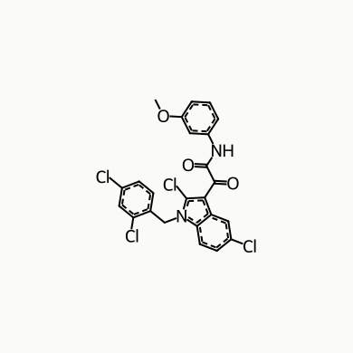 COc1cccc(NC(=O)C(=O)c2c(Cl)n(Cc3ccc(Cl)cc3Cl)c3ccc(Cl)cc23)c1